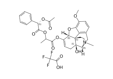 COc1ccc2c3c1O[C@H]1C(OC(=O)C(C)OC(=O)[C@@H](OC(C)=O)c4ccccc4)=CC[C@@]4(O)[C@@H](C2)N(C)CC[C@]314.O=C(O)C(F)(F)F